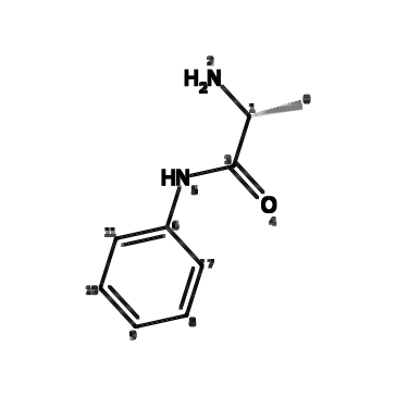 C[C@@H](N)C(=O)Nc1[c]cccc1